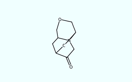 O=C1CN2C3COCC2CC1C3